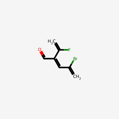 C=C(Br)/C=C(/C=O)C(=C)F